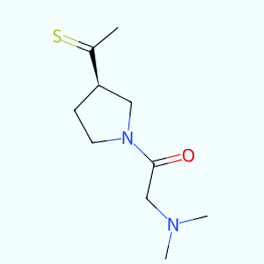 CC(=S)[C@@H]1CCN(C(=O)CN(C)C)C1